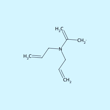 [CH2]C(=C)N(CC=C)CC=C